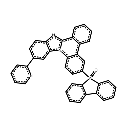 O=P1(c2ccc3c(c2)c2ccccc2c2nc4ccc(-c5ccccn5)cc4n32)c2ccccc2-c2ccccc21